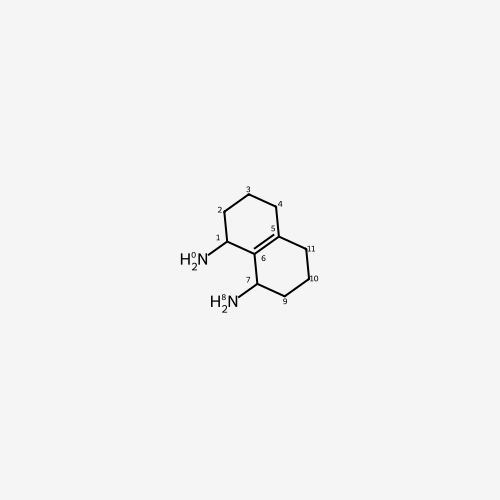 NC1CCCC2=C1C(N)CCC2